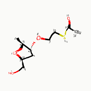 C[C@@H]1O[C@H](CO)C[C@H]1OCCSC(=O)C(C)(C)C